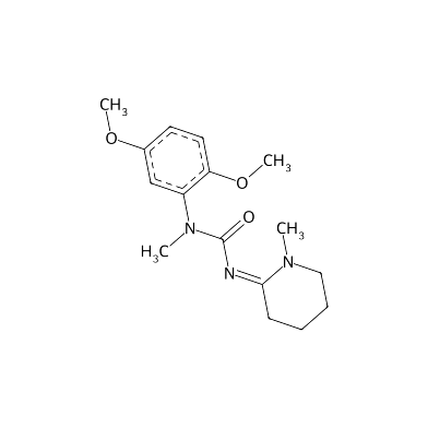 COc1ccc(OC)c(N(C)C(=O)N=C2CCCCN2C)c1